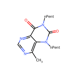 CCCCCn1c(=O)c2ncnc(C)c2n(CCCCC)c1=O